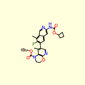 Cc1c(-c2cc3cc(NC(=O)OC4CCC4)ncc3c(C)c2F)cnc2c1N(C(=O)OC(C)(C)C)CCO2